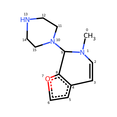 CN1C=Cc2ccoc2C1N1CCNCC1